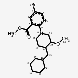 COC(=O)c1cc(Br)cnc1N1CCC(CC2CCCCC2)C(OC)C1